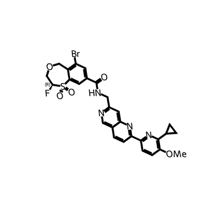 COc1ccc(-c2ccc3cnc(CNC(=O)c4cc(Br)c5c(c4)S(=O)(=O)[C@@H](F)COC5)cc3n2)nc1C1CC1